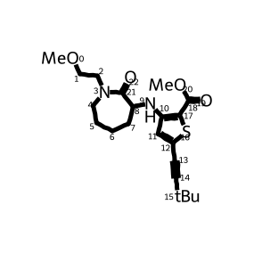 COCCN1CCCCC(Nc2cc(C#CC(C)(C)C)sc2C(=O)OC)C1=O